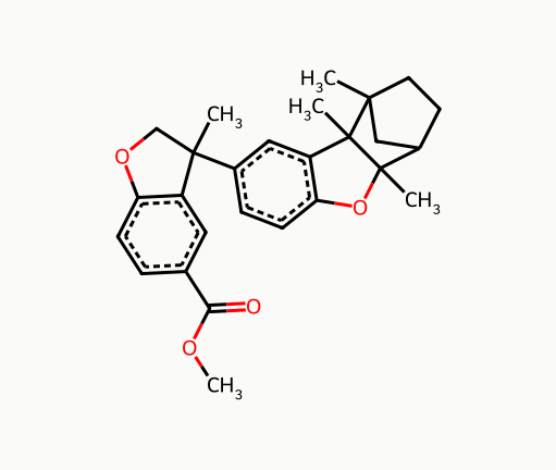 COC(=O)c1ccc2c(c1)C(C)(c1ccc3c(c1)C1(C)C4(C)CCC(C4)C1(C)O3)CO2